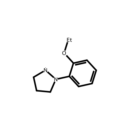 CCOc1ccccc1N1CCC[N]1